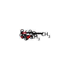 CCCCCCCCC(=O)OCCOC(=O)CCCSCC[C@H]1C(=O)C[C@@H](OC2CCCCO2)[C@@H]1/C=C/[C@H](Cc1cccc(COC)c1)OC1CCCCO1